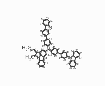 C=C/C=c1\c(=C)n2c3ccccc3c3cc(N(c4ccc(-c5ccc(-n6c7ccccc7c7ccccc76)cc5)cc4)c4ccc(-c5ccc6c(c5)oc5ccccc56)cc4)cc1c32